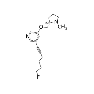 CN1CCC[C@H]1COc1cncc(C#CCCCCF)c1